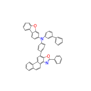 c1ccc(-c2cccc(N(c3ccc(-c4cc5c6ccccc6ccc5c5nc(-c6ccccc6)oc45)cc3)c3ccc4c(c3)oc3ccccc34)c2)cc1